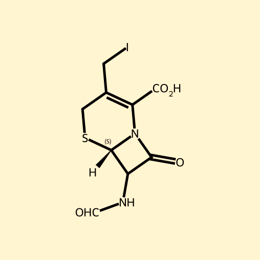 O=CNC1C(=O)N2C(C(=O)O)=C(CI)CS[C@@H]12